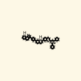 C1=CC(c2cc(-c3ccc4ccc(C5CC=C6C=CC(c7ccc(C8=C9C=CC%10=C(NCC=C%10)C9N=C8)cc7)=CC6N5)cc4n3)nc(-c3ccccc3)n2)=CCC1